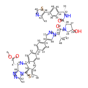 COC(=O)C[C@@H]1N=C(c2ccc(-c3ccc(-c4cnn([C@H](C(=O)N5C[C@H](O)C[C@H]5C(=O)N[C@@H](C)c5ccc(-c6scnc6C)cc5)C(C)C)c4)cc3)cc2)c2c(sc(C)c2C)-n2c(C)nnc21